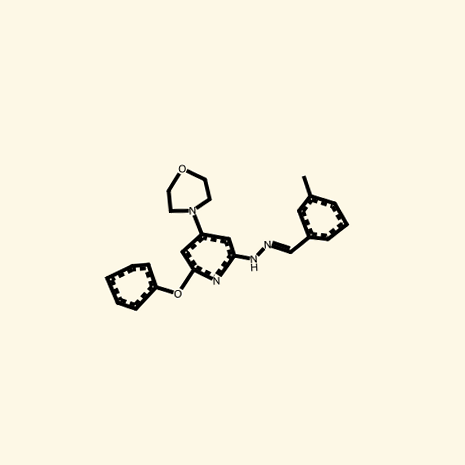 Cc1cccc(C=NNc2cc(N3CCOCC3)cc(Oc3ccccc3)n2)c1